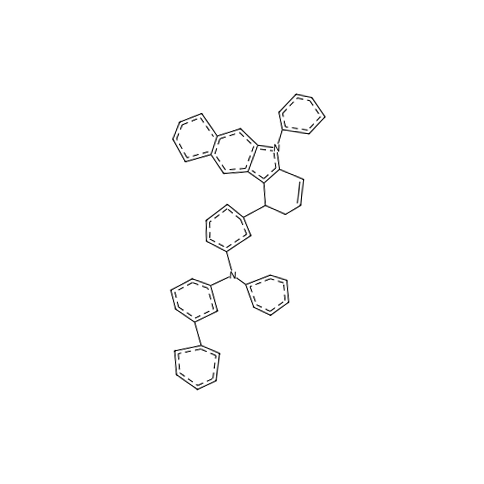 C1=Cc2c(c3cc4ccccc4cc3n2-c2ccccc2)C(c2cccc(N(c3ccccc3)c3cccc(-c4ccccc4)c3)c2)C1